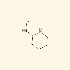 CCNC1NCCCS1